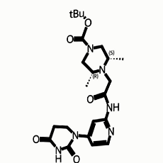 C[C@@H]1CN(C(=O)OC(C)(C)C)C[C@H](C)N1CC(=O)Nc1cc(N2CCC(=O)NC2=O)ccn1